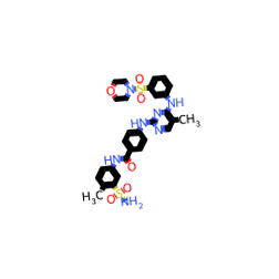 Cc1ccc(NC(=O)c2ccc(Nc3ncc(C)c(Nc4cccc(S(=O)(=O)N5CCOCC5)c4)n3)cc2)cc1S(N)(=O)=O